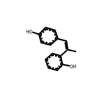 CC(=Cc1ccc(O)cc1)c1ccccc1O